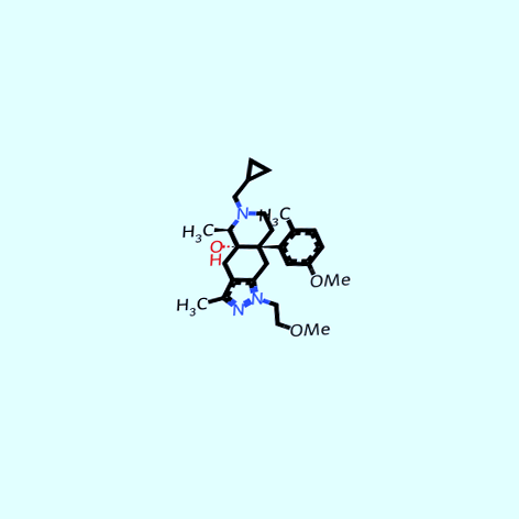 COCCn1nc(C)c2c1C[C@@]1(c3cc(OC)ccc3C)CCN(CC3CC3)[C@H](C)[C@]1(O)C2